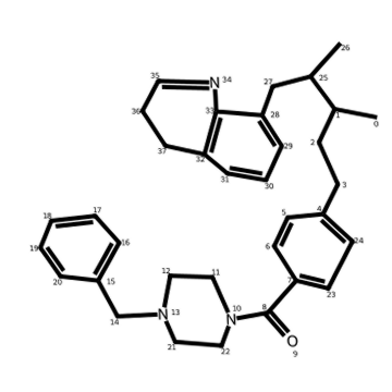 CC(CCc1ccc(C(=O)N2CCN(Cc3ccccc3)CC2)cc1)C(C)Cc1cccc2c1N=CCC2